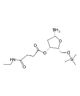 B[C@H]1C[C@@H](OC(=O)CCC(=O)NCC)[C@@H](CO[Si](C)(C)C)O1